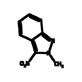 Cn1nc2ccccc2c1[N+](=O)[O-]